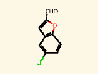 O=[C]c1cc2cc(Cl)ccc2o1